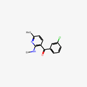 CCNc1nc(SC)ccc1C(=O)c1cccc(Cl)c1